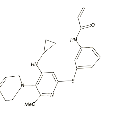 C=CC(=O)Nc1cccc(Sc2cc(NC3CC3)c(N3CC=CCC3)c(OC)n2)c1